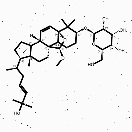 CO[C@@H]1O[C@]23C=C[C@@H]4[C@@]1(CC[C@]1(C)[C@@H]([C@H](C)C/C=C/C(C)(C)O)CC[C@@]41C)[C@@H]2CC[C@H](O[C@@H]1O[C@H](CO)[C@@H](O)[C@@H](O)[C@H]1O)C3(C)C